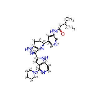 CC(C)CC(=O)Nc1cncc(-c2ccc3[nH]nc(-c4cc5c(N6CCCCC6)nccc5[nH]4)c3n2)c1